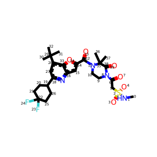 CNS(=O)(=O)CC(=O)N1CCN(C(=O)c2cc3nc(C4CCC(F)(F)CC4)cc(C(C)(C)C)c3o2)C(C)(C)C1=O